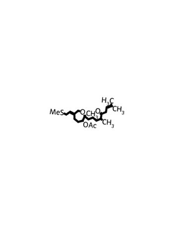 CSC/C=C1\CC[C@@H](OC(C)=O)[C@](C)(CCCC(C)C(=O)CC=C(C)C)OC1